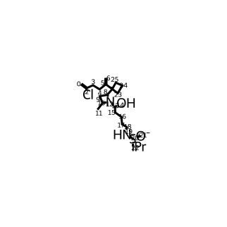 C=C(Cl)CCC(=C)C1(C2CC(C)N2C(O)CCCCN[S+]([O-])C(C)C)CCC1